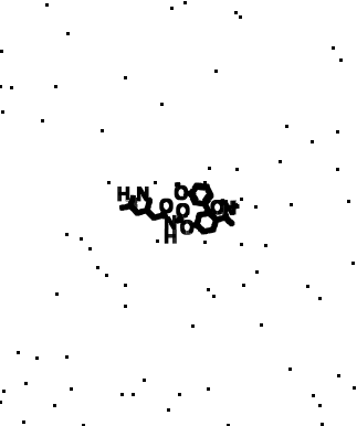 COc1cccc(C2(O)CC(OC(=O)NC(=O)CC(CN)CC(C)C)CCC2C(C)N(C)C)c1